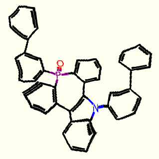 O=P1(c2cccc(-c3ccccc3)c2)c2c#cccc2-c2c(n(-c3cccc(-c4ccccc4)c3)c3ccccc23)-c2ccccc21